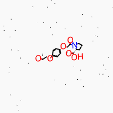 O=CCOc1ccc(OCC(=O)N2CCC[C@@H]2C(=O)O)cc1